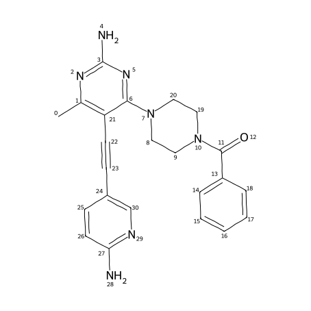 Cc1nc(N)nc(N2CCN(C(=O)c3ccccc3)CC2)c1C#Cc1ccc(N)nc1